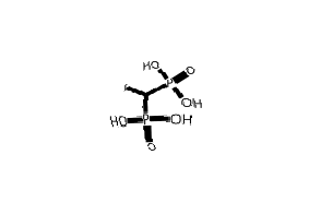 O=P(O)(O)C(I)P(=O)(O)O